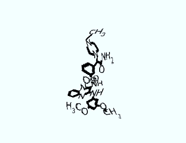 CCCN1CCN(C(C(N)=O)c2cccc(S(=O)(=O)Nc3nc4ccccc4nc3Nc3cc(OC)cc(OC)c3)c2)CC1